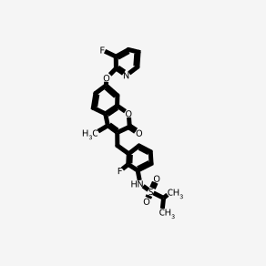 Cc1c(Cc2cccc(NS(=O)(=O)C(C)C)c2F)c(=O)oc2cc(Oc3ncccc3F)ccc12